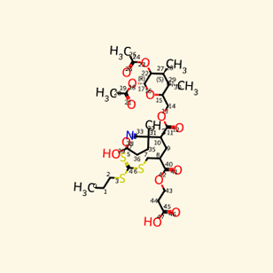 CCCSC(=S)SCC(CC(C(=O)OCC1O[C@H](OC(C)=O)C(OC(C)=O)[C@@H](C)[C@@H]1C)C(C)(C#N)CCC(=O)O)C(=O)OCCC(=O)O